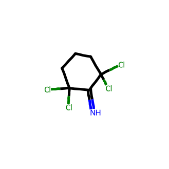 N=C1C(Cl)(Cl)CCCC1(Cl)Cl